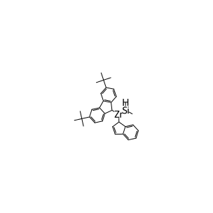 C[SiH](C)[Zr]([CH]1C=Cc2ccccc21)[CH]1c2ccc(C(C)(C)C)cc2-c2cc(C(C)(C)C)ccc21